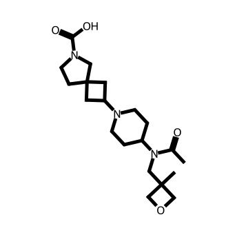 CC(=O)N(CC1(C)COC1)C1CCN(C2CC3(CCN(C(=O)O)C3)C2)CC1